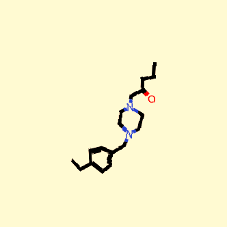 CCCC(=O)CN1CCN(Cc2ccc(CC)cc2)CC1